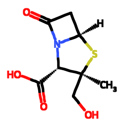 C[C@@]1(CO)S[C@@H]2CC(=O)N2[C@H]1C(=O)O